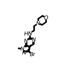 Cn1nc(Br)c2cnc(NCCN3CCOCC3)nc21